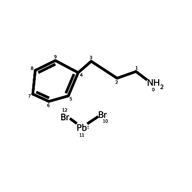 NCCCc1ccccc1.[Br][Pb][Br]